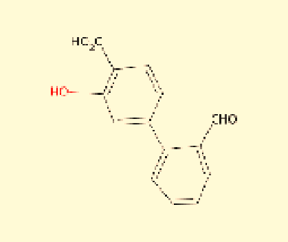 O=Cc1ccccc1-c1ccc(C(=O)O)c(O)c1